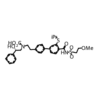 COCCS(=O)(=O)NC(=O)c1ccc(-c2ccc(CCN(C[C@@H](O)c3ccccc3)C(=O)O)cc2)cc1SC(C)C